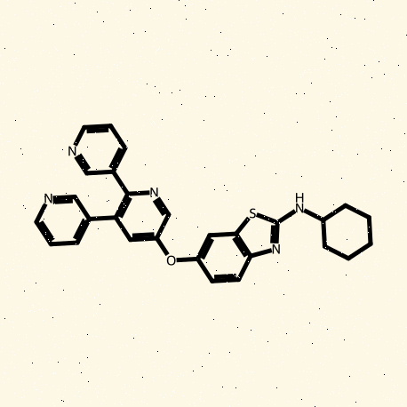 c1cncc(-c2cc(Oc3ccc4nc(NC5CCCCC5)sc4c3)cnc2-c2cccnc2)c1